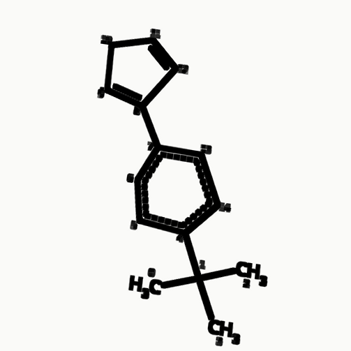 CC(C)(C)c1ccc(C2=[C]CC=C2)cc1